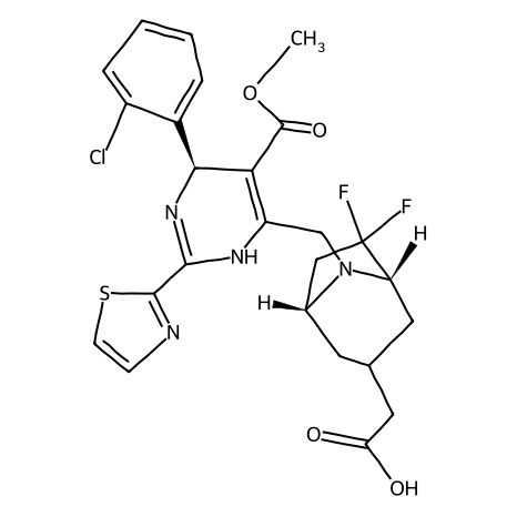 COC(=O)C1=C(CN2[C@@H]3CC(CC(=O)O)C[C@H]2C(F)(F)C3)NC(c2nccs2)=N[C@H]1c1ccccc1Cl